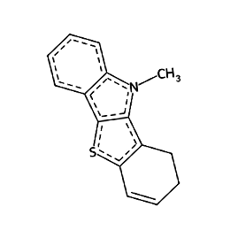 Cn1c2ccccc2c2sc3c(c21)CCC=C3